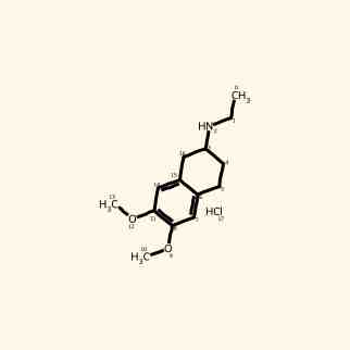 CCNC1CCc2cc(OC)c(OC)cc2C1.Cl